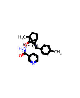 Cc1ccc(/C=C2/C(=O)C3(C)CCC2C3(C)C)cc1.NC(=O)c1cccnc1